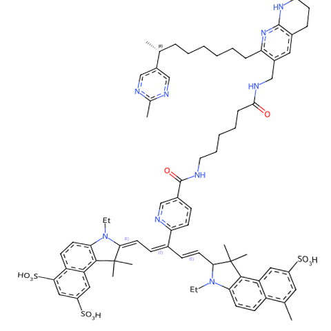 CCN1/C(=C/C=C(/C=C/C2N(CC)c3ccc4c(C)cc(S(=O)(=O)O)cc4c3C2(C)C)c2ccc(C(=O)NCCCCCC(=O)NCc3cc4c(nc3CCCCCC[C@@H](C)c3cnc(C)nc3)NCCC4)cn2)C(C)(C)c2c1ccc1c(S(=O)(=O)O)cc(S(=O)(=O)O)cc21